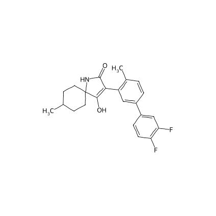 Cc1ccc(-c2ccc(F)c(F)c2)cc1C1=C(O)C2(CCC(C)CC2)NC1=O